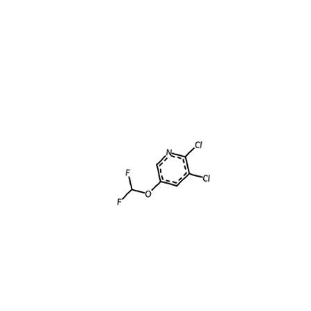 FC(F)Oc1cnc(Cl)c(Cl)c1